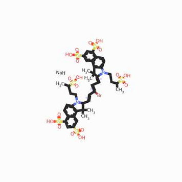 CC(CCN1/C(=C/C=C(Br)/C=C/C2N(CCC(C)S(=O)(=O)O)c3ccc4c(S(=O)(=O)O)cc(S(=O)(=O)O)cc4c3C2(C)C)C(C)(C)c2c1ccc1c(S(=O)(=O)O)cc(S(=O)(=O)O)cc21)S(=O)(=O)O.[NaH]